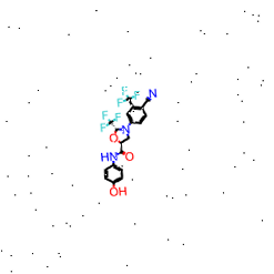 N#Cc1ccc(N2C[C@@H](C(=O)Nc3ccc(O)cc3)O[C@@H]2C(F)(F)F)cc1C(F)(F)F